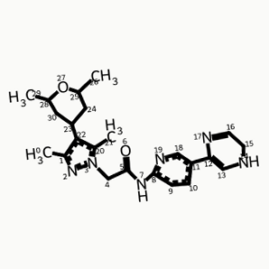 Cc1nn(CC(=O)Nc2ccc(C3=CNCC=N3)cn2)c(C)c1C1CC(C)OC(C)C1